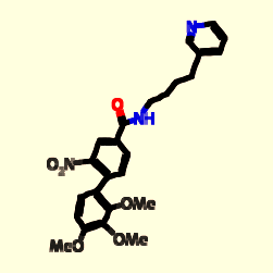 COc1ccc(-c2ccc(C(=O)NCCCCc3cccnc3)cc2[N+](=O)[O-])c(OC)c1OC